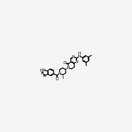 Cc1cc(C)cc(Nc2ncc3c(n2)CCN([C@@H]2CCN(C(=O)c4ccc5[nH]nnc5c4)[C@H](C)C2)C3=O)c1